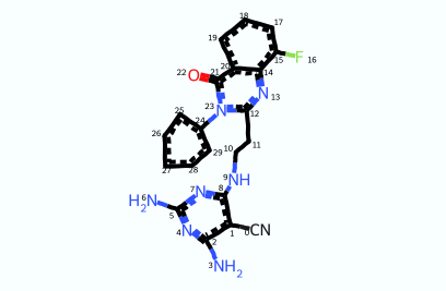 N#Cc1c(N)nc(N)nc1NCCc1nc2c(F)cccc2c(=O)n1-c1ccccc1